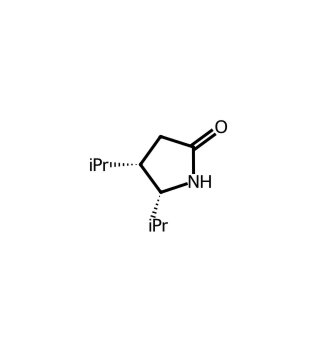 CC(C)[C@H]1NC(=O)C[C@H]1C(C)C